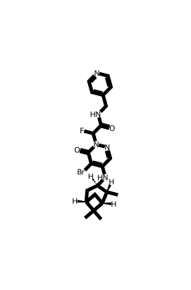 C[C@@H]1[C@H]2C[C@@H](C[C@H]1Nc1cnn(C(F)C(=O)NCc3ccncc3)c(=O)c1Br)C2(C)C